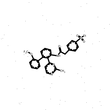 CCS(=O)(=O)c1ccc(CC(=O)Nc2cccc(-c3ccccc3OC(F)(F)F)c2-c2ccnc(C)n2)cc1